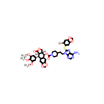 COc1cc([C@@H]2c3cc4c(cc3[C@H](OC(=O)N3CCC(CCn5c(Sc6cc7c(cc6Br)OCO7)nc6c(N)ncnc65)CC3)[C@H]3COC(=O)[C@H]23)OCO4)cc(OC)c1OC